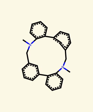 CN1Cc2cccc(c2)-c2ccccc2N(C)Cc2cccc(c2)-c2ccccc21